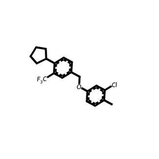 Cc1ccc(OCc2ccc(C3CCCC3)c(C(F)(F)F)c2)cc1Cl